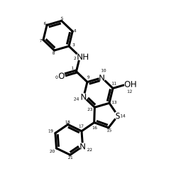 O=C(Nc1ccccc1)c1nc(O)c2scc(-c3ccccn3)c2n1